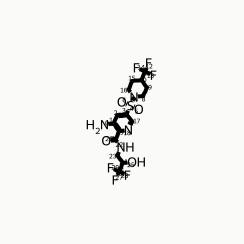 Nc1cc(S(=O)(=O)N2CCC(C(F)(F)F)CC2)cnc1C(=O)NCC(O)C(F)(F)F